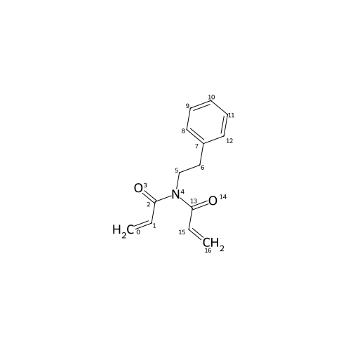 C=CC(=O)N(CCc1ccccc1)C(=O)C=C